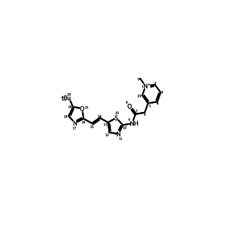 C[n+]1cccc(CC(=O)Nc2ncc(/C=C/c3ncc(C(C)(C)C)o3)s2)c1